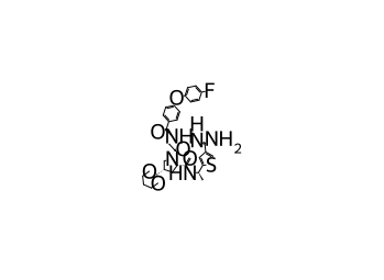 C[C@@H](NC(=O)[C@@H]1C[C@H](C2OCCCO2)CN1C(=O)CNC(=O)c1ccc(Oc2ccc(F)cc2)cc1)c1cc(C(=N)N)cs1